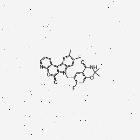 Cc1cc2c3c4cccnc4oc(=O)c3n(Cc3cc4c(cc3F)OC(C)(C)NC4=O)c2cc1F